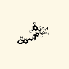 COC(=O)N(C1CC2(C1)CN(CCc1ccc3c(n1)NCCC3)C2)C(CC(=O)O)c1cc(Cl)cc(Cl)c1